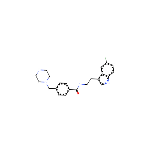 O=C(NCCc1c[nH]c2ccc(Cl)cc12)c1ccc(CN2CCNCC2)cc1